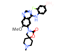 Bc1ccc(Nc2ncnc3cc(OC)c(N4CC5(CCN(C)CC5)OC4=O)cc23)c(F)c1